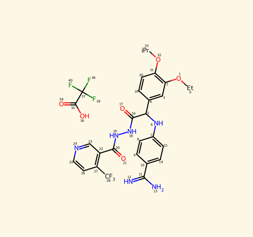 CCOc1cc(C(Nc2ccc(C(=N)N)cc2)C(=O)NNC(=O)c2cnccc2C(F)(F)F)ccc1OC(C)C.O=C(O)C(F)(F)F